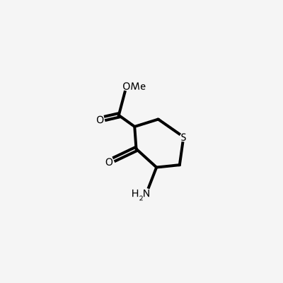 COC(=O)C1CSCC(N)C1=O